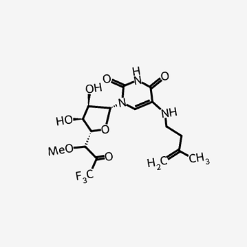 C=C(C)CCNc1cn([C@@H]2O[C@H](C(OC)C(=O)C(F)(F)F)[C@@H](O)[C@H]2O)c(=O)[nH]c1=O